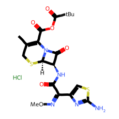 CO/N=C(\C(=O)N[C@@H]1C(=O)N2C(C(=O)OC(=O)C(C)(C)C)=C(C)CS[C@H]12)c1csc(N)n1.Cl